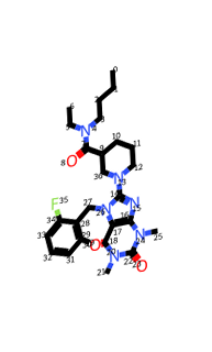 CCCCN(CC)C(=O)C1CCCN(c2nc3c(c(=O)n(C)c(=O)n3C)n2Cc2c(C)cccc2F)C1